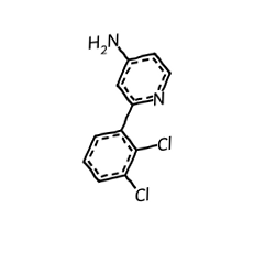 Nc1ccnc(-c2cccc(Cl)c2Cl)c1